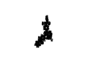 CC#CC(=O)N[C@H]1CC[C@H](n2nc(-c3ccc(C(=O)Nc4nccs4)cc3)c3c(N)ncnc32)CC1